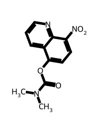 CN(C)C(=O)Oc1ccc([N+](=O)[O-])c2ncccc12